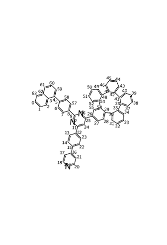 c1ccc2c(-c3ccc(-c4nc(-c5ccc(-c6ccncc6)cc5)cc(-c5ccc6c7ccccc7c7ccccc7c7ccccc7c7ccccc7c6c5)n4)cc3)cccc2c1